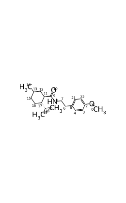 COc1ccc(CCNC(=O)[C@@H]2CC(C)CC[C@H]2C(C)C)cc1